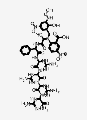 N=C(N)NC(NC(=O)C(NC(=N)N)NC(=O)C(NC(=N)N)NC(=O)C(NC(=N)N)NC(=O)C(NC(=O)C(O)N(Cc1cc([N+](=O)[O-])cc(NOO)c1O)c1ccc([N+](=O)[O-])cc1C(=O)O)c1ccccc1)C(N)=O